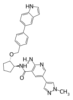 Cn1cc(-c2cnc(N)c(C(=O)N[C@H]3CCC[C@@H]3OCc3ccc(-c4ccc5[nH]ccc5c4)cc3)c2)cn1